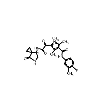 Cc1cc(NC(=O)c2c(C)c(C(=O)C(=O)N[C@H]3CNC(=O)C34CC4)n(C)c2C)ccc1F